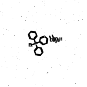 CC(=O)O.CC(=O)O.CC[P](c1ccccc1)(c1ccccc1)c1ccccc1